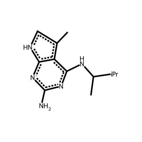 Cc1c[nH]c2nc(N)nc(NC(C)C(C)C)c12